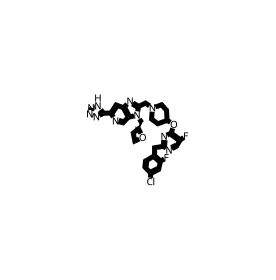 Fc1cc(Cl)ccc1Cc1ncc(F)c(OC2CCN(Cc3nc4cc(-c5nnn[nH]5)ncc4n3C[C@@H]3CCO3)CC2)n1